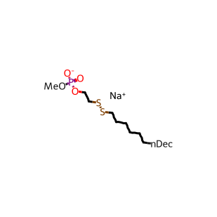 CCCCCCCCCCCCCCCCSSCCOP(=O)([O-])OC.[Na+]